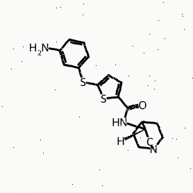 Nc1cccc(Sc2ccc(C(=O)N[C@H]3CN4CCC3CC4)s2)c1